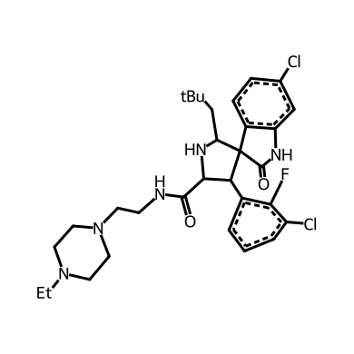 CCN1CCN(CCNC(=O)C2NC(CC(C)(C)C)C3(C(=O)Nc4cc(Cl)ccc43)C2c2cccc(Cl)c2F)CC1